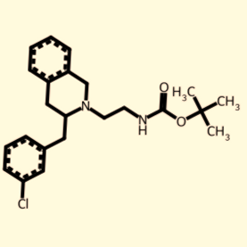 CC(C)(C)OC(=O)NCCN1Cc2ccccc2CC1Cc1cccc(Cl)c1